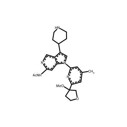 COC1(c2cc(C)cc(-n3cc(C4CCNCC4)c4cnc(NC(C)=O)cc43)n2)CCOC1